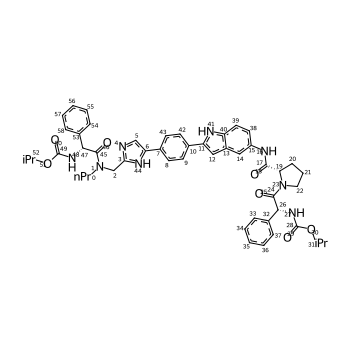 CCCN(Cc1ncc(-c2ccc(-c3cc4cc(NC(=O)[C@@H]5CCCN5C(=O)[C@H](NC(=O)OC(C)C)c5ccccc5)ccc4[nH]3)cc2)[nH]1)C(=O)[C@H](NC(=O)OC(C)C)c1ccccc1